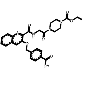 CCOC(=O)N1CCN(C(=O)CNC(=O)c2nc3ccccc3cc2OCc2ccc(C(=O)O)cc2)CC1